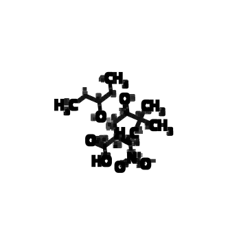 CCC(CC)O[C@H](C(=O)C(C)(C)C)[C@@H](C[N+](=O)[O-])C(=O)O